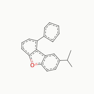 CC(C)c1ccc2oc3cccc(-c4ccccc4)c3c2c1